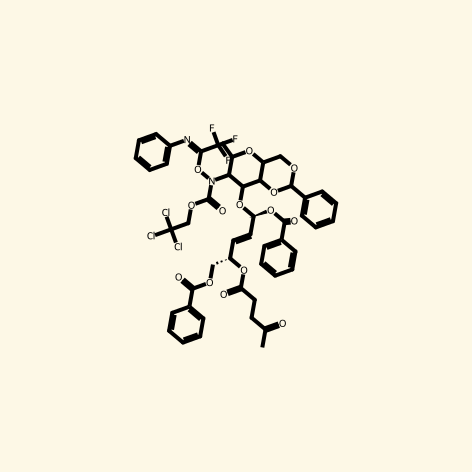 CC(=O)CCC(=O)O[C@@H](/C=C/[C@H](OC(=O)c1ccccc1)OC1C2OC(c3ccccc3)OCC2OC(C)C1N(O/C(=N\c1ccccc1)C(F)(F)F)C(=O)OCC(Cl)(Cl)Cl)COC(=O)c1ccccc1